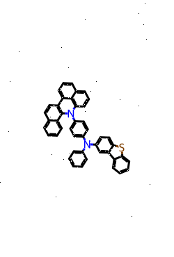 c1ccc(N(c2ccc(N3c4c(ccc5ccccc45)-c4cccc5cccc3c45)cc2)c2ccc3sc4ccccc4c3c2)cc1